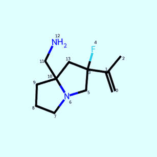 C=C(C)C1(F)CN2CCCC2(CN)C1